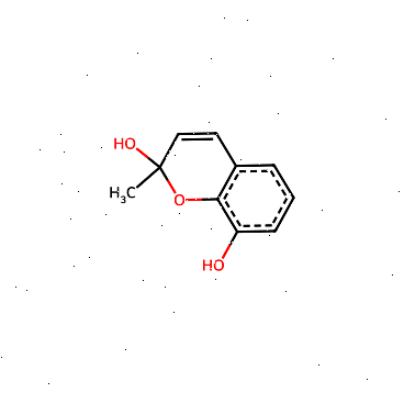 CC1(O)C=Cc2cccc(O)c2O1